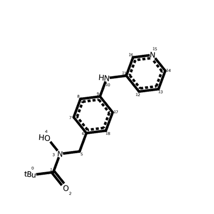 CC(C)(C)C(=O)N(O)Cc1ccc(Nc2cccnc2)cc1